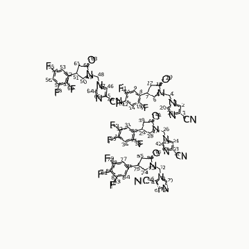 N#Cc1cn(CN2CC(c3cc(F)c(F)cc3F)CC2=O)cn1.N#Cc1cn(CN2CC(c3cc(F)c(F)cc3F)CC2=O)cn1.N#Cc1cn(CN2CC(c3cc(F)cc(F)c3F)CC2=O)cn1.N#Cc1cncn1CN1CC(c2cc(F)c(F)c(F)c2)CC1=O